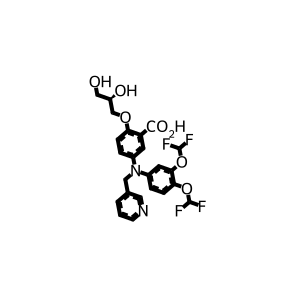 O=C(O)c1cc(N(Cc2cccnc2)c2ccc(OC(F)F)c(OC(F)F)c2)ccc1OC[C@H](O)CO